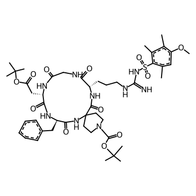 COc1cc(C)c(S(=O)(=O)NC(=N)NCCC[C@@H]2NC(=O)C3(CCN(C(=O)OC(C)(C)C)CC3)NC(=O)[C@@H](Cc3ccccc3)NC(=O)[C@H](CC(=O)OC(C)(C)C)NC(=O)CNC2=O)c(C)c1C